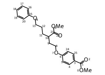 COC(=O)c1ccc(OCCC(CCCOc2ccccc2)C(=O)OC)cc1